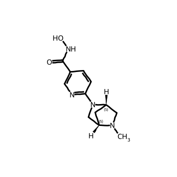 CN1C[C@@H]2C[C@H]1CN2c1ccc(C(=O)NO)cn1